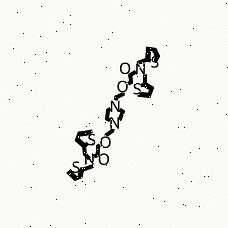 O=C(COCCN1CCN(CCOCC(=O)N(Cc2cccs2)Cc2cccs2)CC1)N(Cc1cccs1)Cc1cccs1